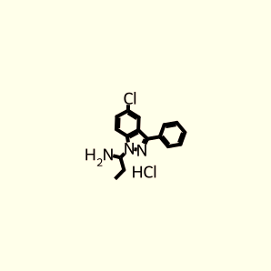 CCC(N)n1nc(-c2ccccc2)c2cc(Cl)ccc21.Cl